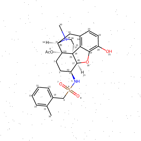 CC(=O)O[C@@]12CC[C@H](NS(=O)(=O)Cc3ccccc3C)[C@@H]3Oc4c(O)ccc5c4[C@@]31CCN(C)[C@@H]2C5